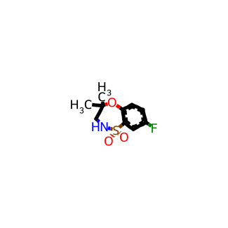 CC1(C)CNS(=O)(=O)c2cc(F)ccc2O1